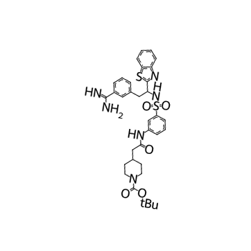 CC(C)(C)OC(=O)N1CCC(CC(=O)Nc2cccc(S(=O)(=O)NC(Cc3cccc(C(=N)N)c3)c3nc4ccccc4s3)c2)CC1